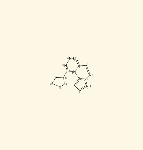 C=C1C=Nc2[nH]ccc2N1/C(=N\N)C1CCCC1